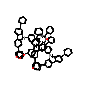 c1ccc(-c2ccc3c4ccc(-c5ccccc5)cc4n(-c4ccc(-c5nc(-c6ccccc6)nc(-c6ccc(-n7c8cc(-c9ccccc9)ccc8c8ccc(-c9ccccc9)cc87)cc6-n6c7cc(-c8ccccc8)ccc7c7ccc(-c8ccccc8)cc76)n5)c(-n5c6cc(-c7ccccc7)ccc6c6ccc(-c7ccccc7)cc65)c4)c3c2)cc1